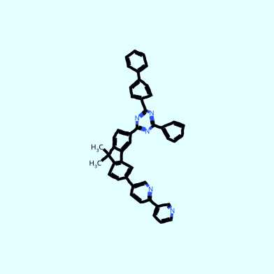 CC1(C)c2ccc(-c3ccc(-c4cccnc4)nc3)cc2-c2cc(-c3nc(-c4ccccc4)nc(-c4ccc(-c5ccccc5)cc4)n3)ccc21